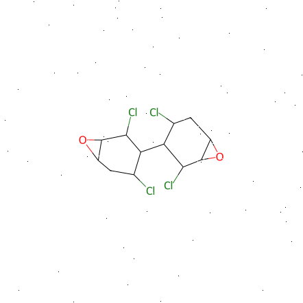 ClC1CC2OC2C(Cl)C1C1C(Cl)CC2OC2C1Cl